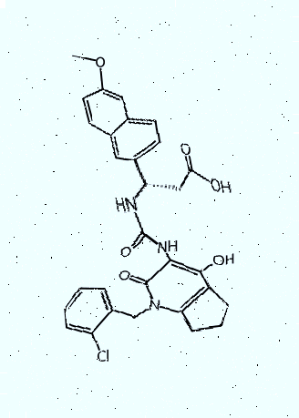 COc1ccc2cc([C@H](CC(=O)O)NC(=O)Nc3c(O)c4c(n(Cc5ccccc5Cl)c3=O)CCC4)ccc2c1